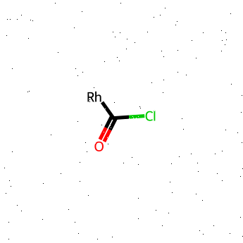 O=[C](Cl)[Rh]